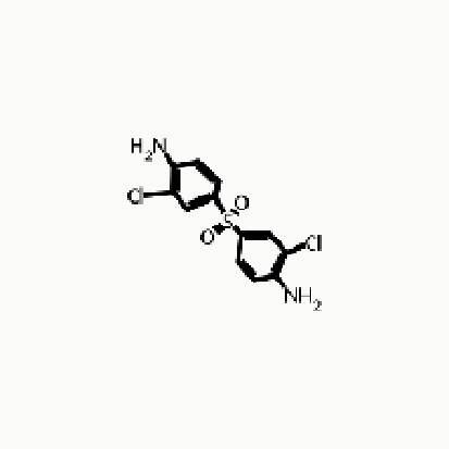 Nc1ccc(S(=O)(=O)c2ccc(N)c(Cl)c2)cc1Cl